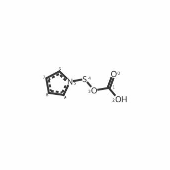 O=C(O)OSn1cccc1